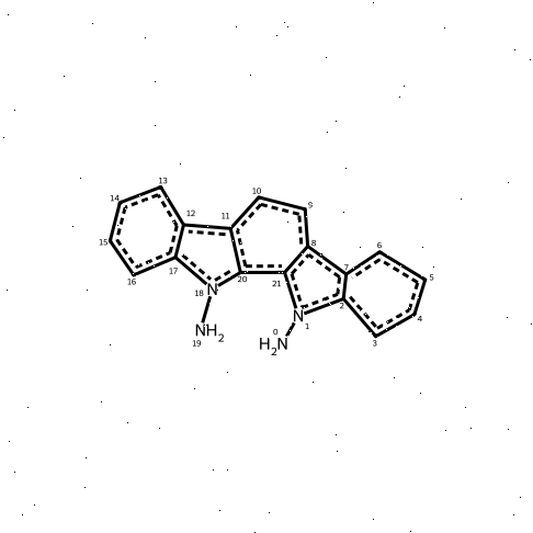 Nn1c2ccccc2c2ccc3c4ccccc4n(N)c3c21